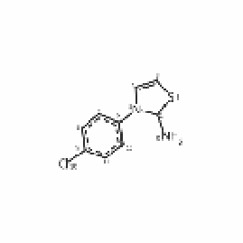 NC1SC=CN1c1ccc(Cl)cc1